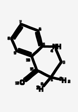 [2H]C1([2H])CNc2ccccc2C1=O